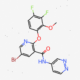 COc1c(Oc2ncc(Br)cc2C(=O)Nc2ccnnc2)ccc(F)c1F